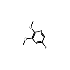 COc1ncc(F)nc1OC